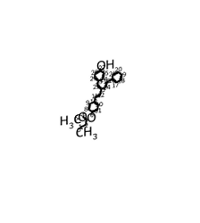 CCCC(OC)Oc1ccc(C=CC(C=Cc2ccccc2)=Cc2ccc(O)cc2)cc1